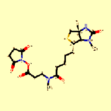 CN(CCC(=O)ON1C(=O)CCC1=O)C(=O)CCCC[C@@H]1SC[C@@H]2NC(=O)N(C)C21